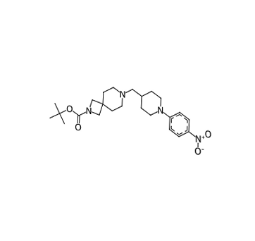 CC(C)(C)OC(=O)N1CC2(CCN(CC3CCN(c4ccc([N+](=O)[O-])cc4)CC3)CC2)C1